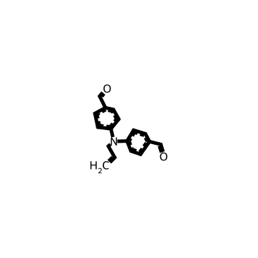 C=CCN(c1ccc(C=O)cc1)c1ccc(C=O)cc1